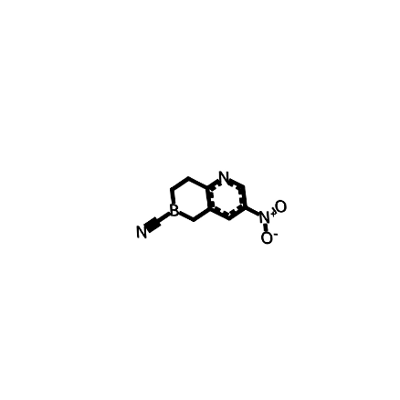 N#CB1CCc2ncc([N+](=O)[O-])cc2C1